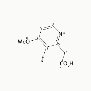 COc1ccnc(CC(=O)O)c1F